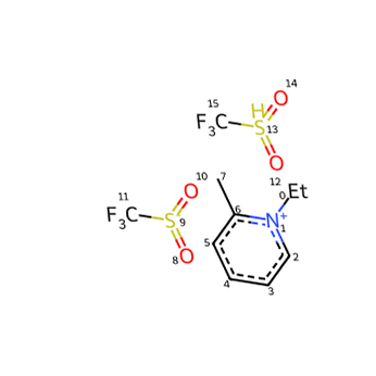 CC[n+]1ccccc1C.O=[S-](=O)C(F)(F)F.O=[SH](=O)C(F)(F)F